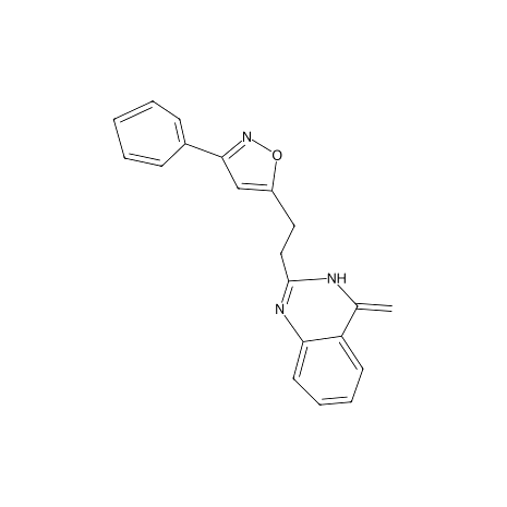 C=C1NC(CCc2cc(-c3ccccc3)no2)=Nc2ccccc21